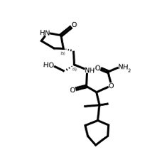 CC(C)(C1CCCCC1)C(OC(N)=O)C(=O)N[C@H](CO)C[C@@H]1CCNC1=O